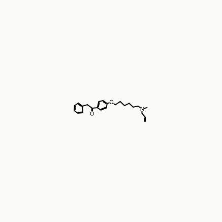 C=CCN(C)CCCCCCOc1ccc(C(=O)Cc2ccccc2)cc1